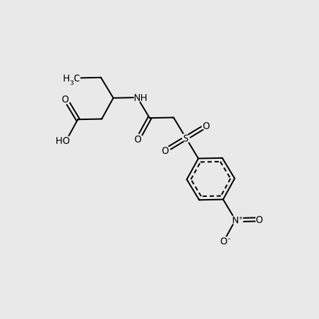 CCC(CC(=O)O)NC(=O)CS(=O)(=O)c1ccc([N+](=O)[O-])cc1